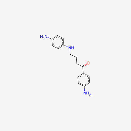 Nc1ccc(NCCCC(=O)c2ccc(N)cc2)cc1